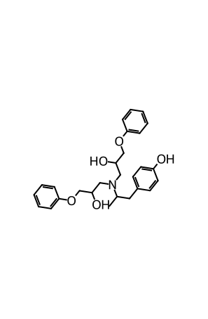 CC(Cc1ccc(O)cc1)N(CC(O)COc1ccccc1)CC(O)COc1ccccc1